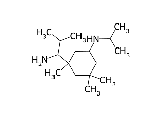 CC(C)NC1CC(C)(C)CC(C)(C(N)C(C)C)C1